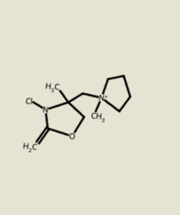 C=C1OCC(C)(C[N+]2(C)CCCC2)N1Cl